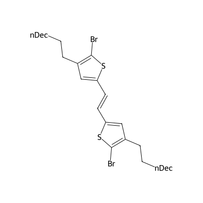 CCCCCCCCCCCCc1cc(C=Cc2cc(CCCCCCCCCCCC)c(Br)s2)sc1Br